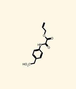 C=CCOC(=O)C(=O)Nc1ccc(CC(=O)O)cc1